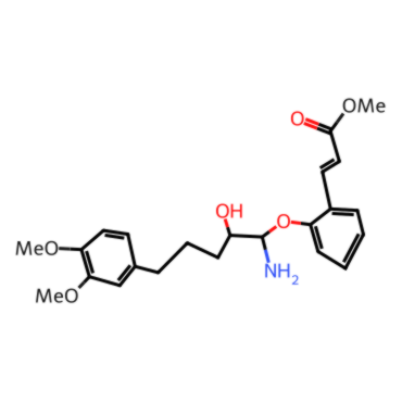 COC(=O)C=Cc1ccccc1OC(N)C(O)CCCc1ccc(OC)c(OC)c1